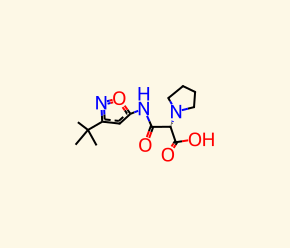 CC(C)(C)c1cc(NC(=O)[C@@H](C(=O)O)N2CCCC2)on1